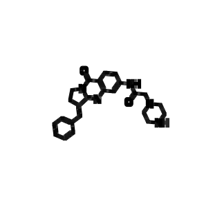 O=C(CN1CCNCC1)Nc1ccc2c(=O)n3c(nc2c1)C(=Cc1ccccc1)CC3